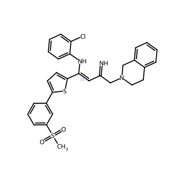 CS(=O)(=O)c1cccc(-c2ccc(/C(=C/C(=N)CN3CCc4ccccc4C3)Nc3ccccc3Cl)s2)c1